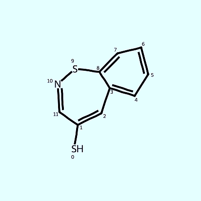 SC1=Cc2ccccc2SN=C1